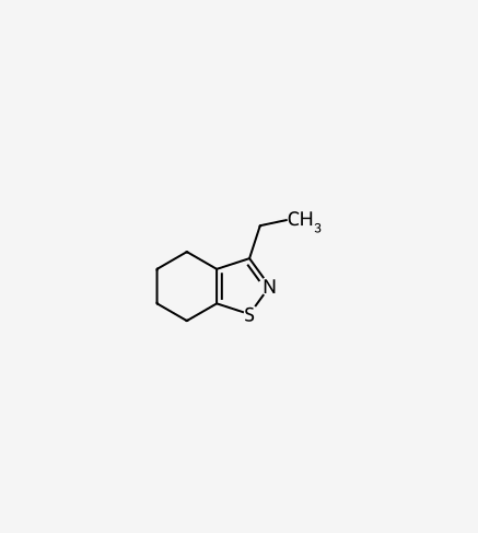 CCc1nsc2c1CCCC2